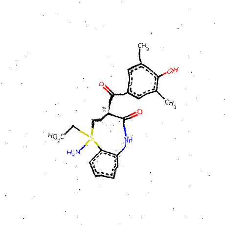 Cc1cc(C(=O)[C@@H]2CS(N)(CC(=O)O)c3ccccc3NC2=O)cc(C)c1O